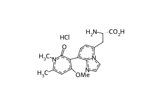 COc1cc(C)n(C)c(=O)c1-c1ccc(C[C@H](N)C(=O)O)n2ccnc12.Cl